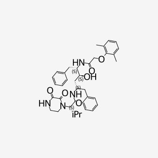 Cc1cccc(C)c1OCC(=O)N[C@@H](Cc1ccccc1)[C@@H](O)C[C@H](Cc1ccccc1)NC(=O)[C@H](C(C)C)N1CCNC(=O)C1=O